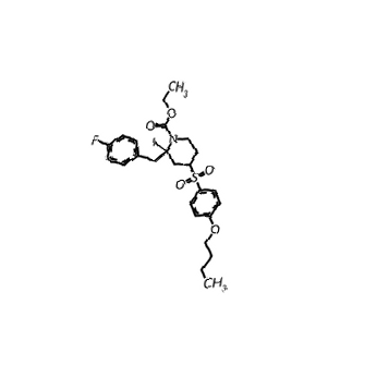 CCCCOc1ccc(S(=O)(=O)C2CCN(C(=O)OCC)C(I)(Cc3ccc(F)cc3)C2)cc1